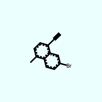 C#Cc1ccc(C)c2ccc(Br)cc12